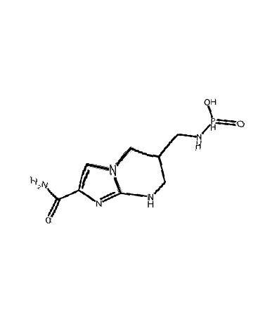 NC(=O)c1cn2c(n1)NCC(CN[PH](=O)O)C2